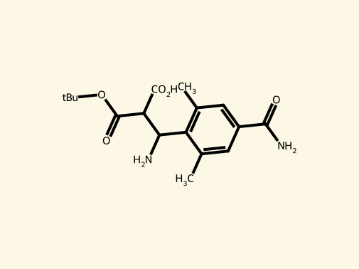 Cc1cc(C(N)=O)cc(C)c1C(N)C(C(=O)O)C(=O)OC(C)(C)C